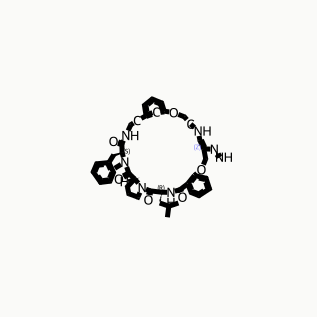 CC(C)C[C@H]1NC(=O)c2ccccc2OC/C(N=N)=C/NCCOc2cccc(c2)CCNC(=O)[C@H](Cc2ccccc2)N(C)C(=O)[C@H]2CCCN2C1=O